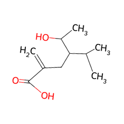 C=C(CC(C(C)C)C(C)O)C(=O)O